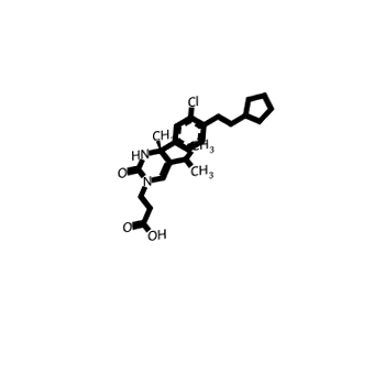 CC(C)C1=CN(CCC(=O)O)C(=O)N[C@]1(C)c1ccc(CCC2CCCC2)c(Cl)c1